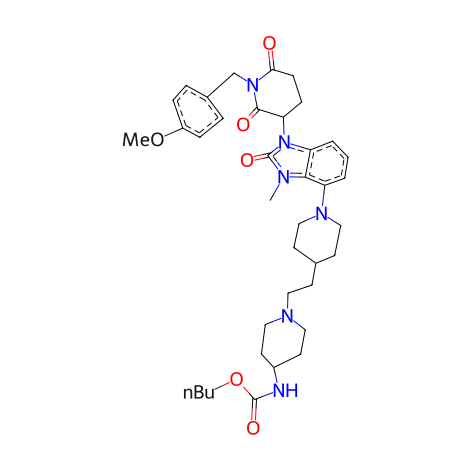 CCCCOC(=O)NC1CCN(CCC2CCN(c3cccc4c3n(C)c(=O)n4C3CCC(=O)N(Cc4ccc(OC)cc4)C3=O)CC2)CC1